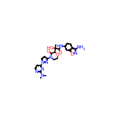 CN(C)c1nccc(-n2ccc(N3CCOC(C(C)(O)C(=O)Nc4ccc5c(N)noc5c4)C3=O)n2)n1